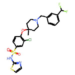 CC1(Oc2ccc(S(=O)(=O)Nc3nccs3)cc2Cl)CCN(Cc2cccc(C(F)F)c2)CC1